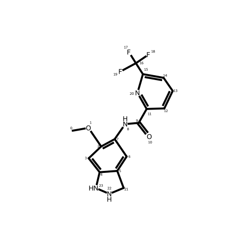 COc1cc2c(cc1NC(=O)c1cccc(C(F)(F)F)n1)CNN2